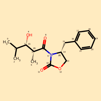 CC(C)[C@H](O)[C@@H](C)C(=O)N1C(=O)OC[C@H]1Cc1ccccc1